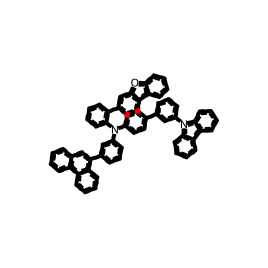 c1cc(-c2cc3ccccc3c3ccccc23)cc(N(c2ccc(-c3cccc(-n4c5ccccc5c5ccccc54)c3)cc2)c2ccccc2-c2ccc3c(c2)oc2ccccc23)c1